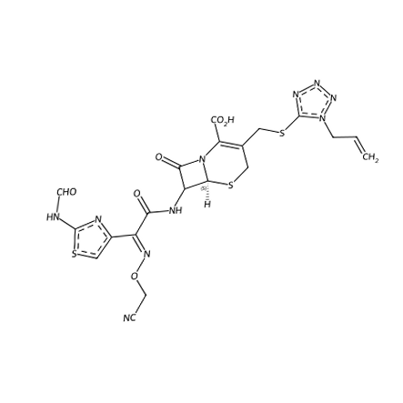 C=CCn1nnnc1SCC1=C(C(=O)O)N2C(=O)C(NC(=O)C(=NOCC#N)c3csc(NC=O)n3)[C@@H]2SC1